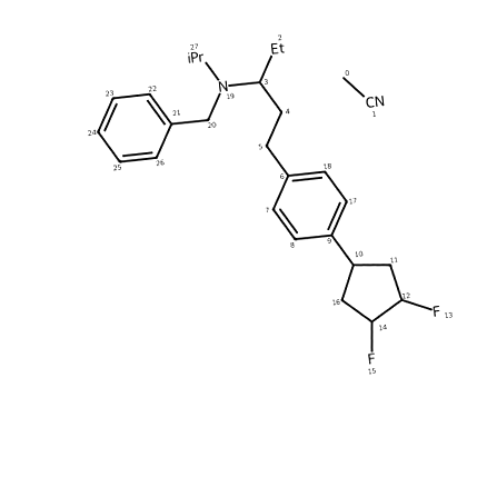 CC#N.CCC(CCc1ccc(C2CC(F)C(F)C2)cc1)N(Cc1ccccc1)C(C)C